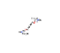 CCN(CCOCC#CC#CCOCCN(CC)C(=O)O)C(=O)O